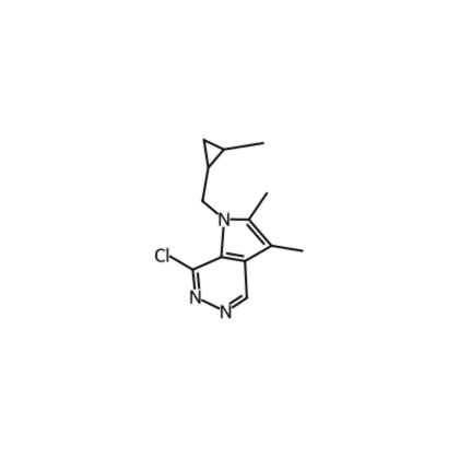 Cc1c(C)n(CC2CC2C)c2c(Cl)nncc12